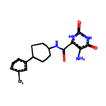 Nc1c(C(=O)NC2CCC(c3cccc(C(F)(F)F)c3)CC2)[nH]c(=O)[nH]c1=O